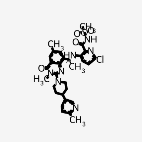 Cc1cc([C@@H](C)Nc2ccc(Cl)nc2C(=O)NS(C)(=O)=O)c2nc(N3CCC(c4ccc(C)nc4)CC3)n(C)c(=O)c2c1